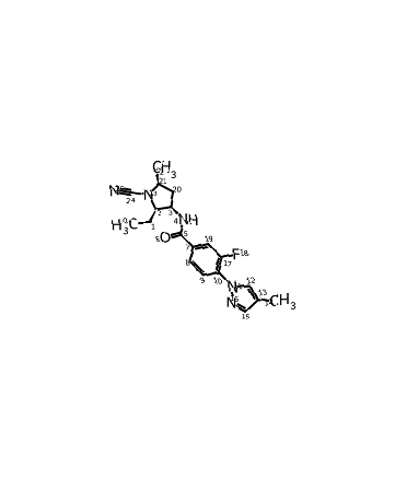 CC[C@@H]1[C@H](NC(=O)c2ccc(-n3cc(C)cn3)c(F)c2)C[C@H](C)N1C#N